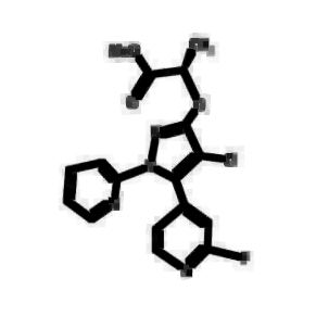 COC(=O)[C@@H](C)Oc1nn(-c2ccccn2)c(-c2ccnc(F)c2)c1Cl